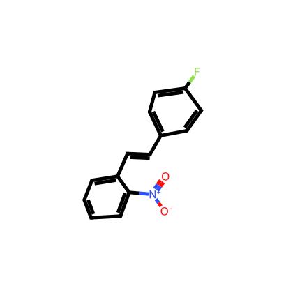 O=[N+]([O-])c1ccccc1C=Cc1ccc(F)cc1